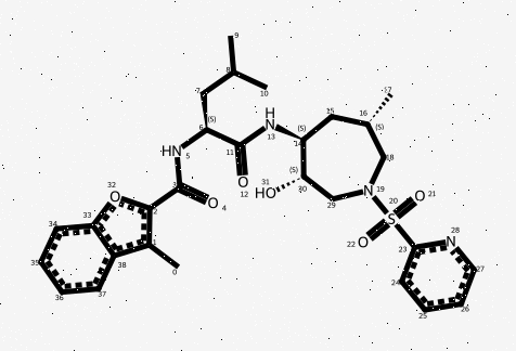 Cc1c(C(=O)N[C@@H](CC(C)C)C(=O)N[C@H]2C[C@H](C)CN(S(=O)(=O)c3ccccn3)C[C@@H]2O)oc2ccccc12